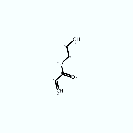 [CH]=CC(=O)OCCO